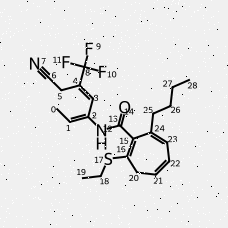 C/C=C(\C=C(/CC#N)C(F)(F)F)NC(=O)C1=C(SCC)CC=CC=C1CCCC